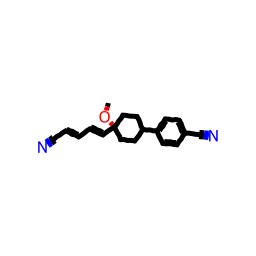 COC1(C=CC=CC#N)CCC(c2ccc(C#N)cc2)CC1